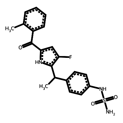 Cc1ccccc1C(=O)c1cc(F)c(C(C)c2ccc(NS(N)(=O)=O)cc2)[nH]1